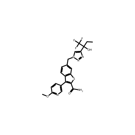 CCC(O)(c1cn(Cc2ccc3c(-c4ccc(OC)nc4)c(C(N)=O)sc3c2)nn1)C(F)(F)F